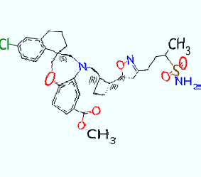 COC(=O)c1ccc2c(c1)N(C[C@@H]1CC[C@H]1[C@H]1CC(CCC(C)S(N)(=O)=O)=NO1)C[C@@]1(CCCc3cc(Cl)ccc31)CO2